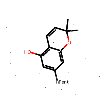 CCCCCc1cc(O)c2c(c1)OC(C)(C)C=C2